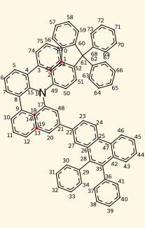 c1ccc(-c2cccc(-c3ccccc3)c2N(c2cccc(-c3ccc4c(c3)c(-c3ccccc3)c(-c3ccccc3)c3ccccc34)c2)c2ccc3c(c2)-c2ccccc2C3(c2ccccc2)c2ccccc2)cc1